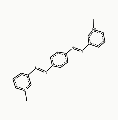 C[n+]1cccc(N=Nc2ccc(N=Nc3ccc[n+](C)c3)cc2)c1